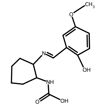 COc1ccc(O)c(C=NC2CCCCC2NC(=O)O)c1